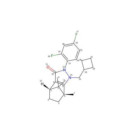 CC1(C)[C@@H]2CC[C@@]1(C)c1c2c(=O)n(-c2ccc(F)cc2F)n1CC1CCC1